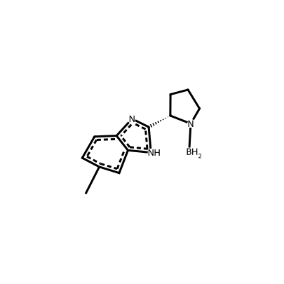 BN1CCC[C@H]1c1nc2ccc(C)cc2[nH]1